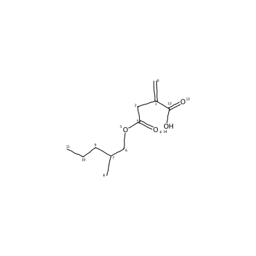 C=C(CC(=O)OCC(C)CCC)C(=O)O